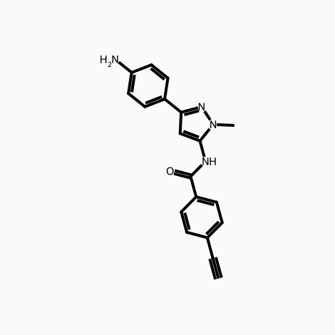 C#Cc1ccc(C(=O)Nc2cc(-c3ccc(N)cc3)nn2C)cc1